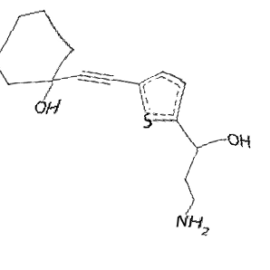 NCCC(O)c1ccc(C#CC2(O)CCCCC2)s1